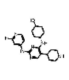 O[C@H]1CC[C@H](Nc2nc(Nc3ccnc(F)c3)ncc2C2CCNCC2)CC1